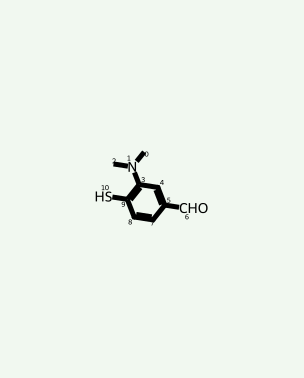 CN(C)c1cc(C=O)ccc1S